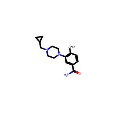 COc1ccc(C(N)=O)cc1N1CCN(CC2CC2)CC1